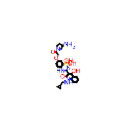 N[C@H]1CCN(C(=O)COc2ccc3c(c2)S(O)(O)N=C(c2c(O)c4ccccc4n(NCC4CC4)c2=O)N3)C1